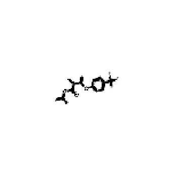 CC(C)OC(=O)C(C)C(C)Oc1ccc(C(F)(F)F)cc1